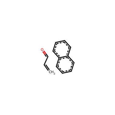 C=CC=O.c1ccc2ccccc2c1